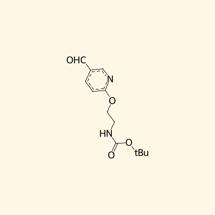 CC(C)(C)OC(=O)NCCOc1ccc(C=O)cn1